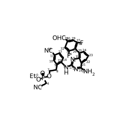 CCOP(=O)(CC#N)OCCc1cc(C#N)ccc1Nc1nc(N)c2cccc(-c3c(F)cc(C=O)cc3F)c2n1